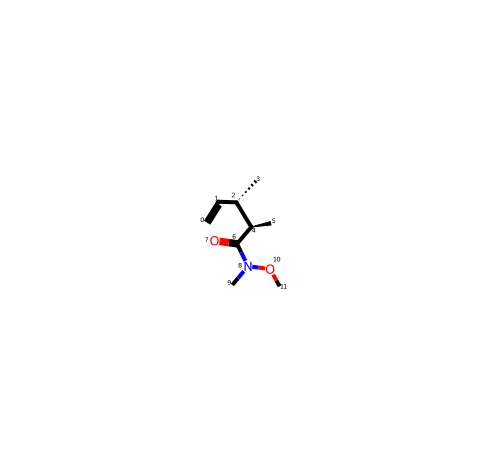 C=C[C@H](C)[C@@H](C)C(=O)N(C)OC